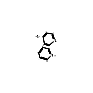 [N].c1ccncc1.c1ccncc1